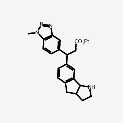 CCOC(=O)CC(c1ccc2c(c1)C1NCCC1C2)c1ccc2c(c1)nnn2C